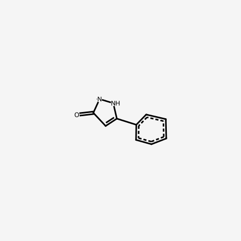 O=C1C=C(c2ccccc2)N[N]1